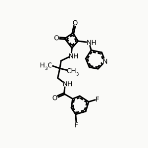 CC(C)(CNC(=O)c1cc(F)cc(F)c1)CNc1c(Nc2cccnc2)c(=O)c1=O